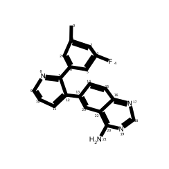 Cc1cc(F)cc(-c2ncccc2-c2ccc3ncnc(N)c3c2)c1